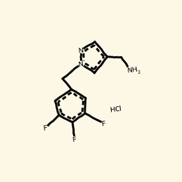 Cl.NCc1cnn(Cc2cc(F)c(F)c(F)c2)c1